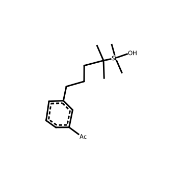 CC(=O)c1cccc(CCCC(C)(C)[Si](C)(C)O)c1